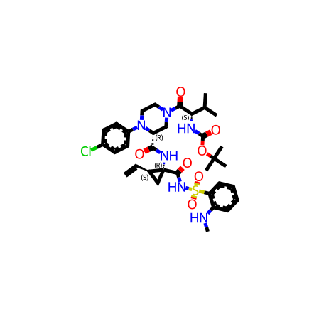 C=C[C@@H]1C[C@]1(NC(=O)[C@H]1CN(C(=O)[C@@H](NC(=O)OC(C)(C)C)C(C)C)CCN1c1ccc(Cl)cc1)C(=O)NS(=O)(=O)c1ccccc1NC